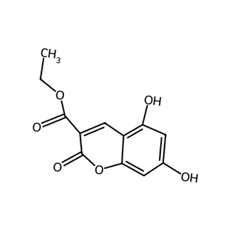 CCOC(=O)c1cc2c(O)cc(O)cc2oc1=O